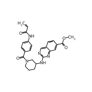 C=CC(=O)Nc1ccc(C(=O)N2CCCC(Nc3ncc4ccc(C(=O)OC)cc4n3)C2)cc1